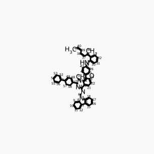 C=N/C(=N\C(=N/Cn1c2ccccc2c2ccccc21)c1ccc2oc3cc(Nc4ccccc4C(=C)/C=C\C=C/C)ccc3c2c1)C1=CC=C(c2ccccc2)CC1